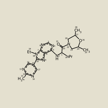 CCCC(Nc1ncnc2c1nc(-c1cnc(C)nc1)n2CC)C(=O)N1CC(C)OC(C)C1